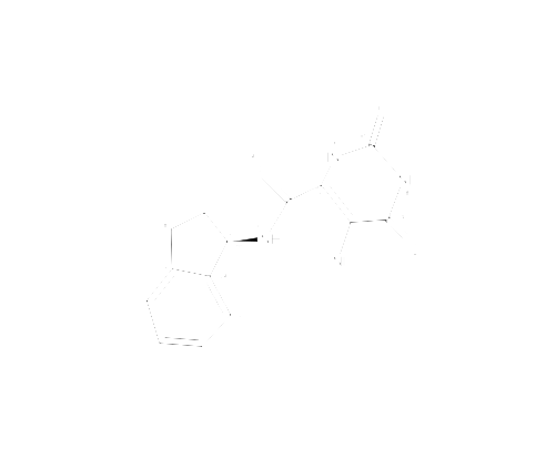 Nc1c(C(=O)N[C@@H]2CCc3ccccc32)[nH]c(=O)[nH]c1=O